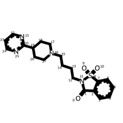 O=C1c2ccccc2S(=O)(=O)N1CCCCN1CCC(c2ncccn2)CC1